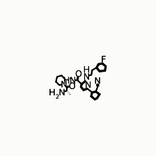 C[C@H](N)C(=O)N1CCCC[C@@H]1CNC(=O)c1ccc(-c2ccccc2C#N)nc1NCCc1cccc(F)c1